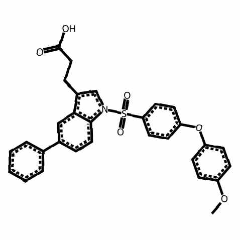 COc1ccc(Oc2ccc(S(=O)(=O)n3cc(CCC(=O)O)c4cc(-c5ccccc5)ccc43)cc2)cc1